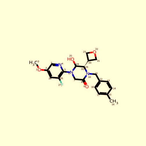 COc1cnc(N2CC(=O)N(Cc3ccc(C)cc3)[C@@H](C3COC3)C2O)c(F)c1